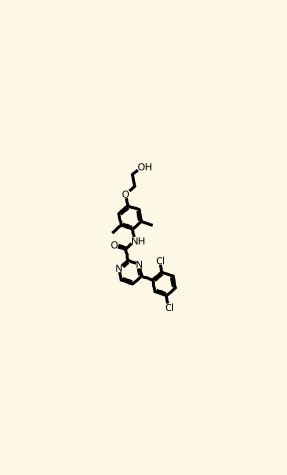 Cc1cc(OCCO)cc(C)c1NC(=O)c1nccc(-c2cc(Cl)ccc2Cl)n1